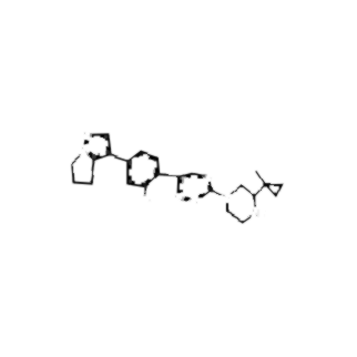 CC1(C2CN(c3ncc(-c4ccc(-c5cnn6c5CCC6)cc4O)nn3)CCN2)CC1